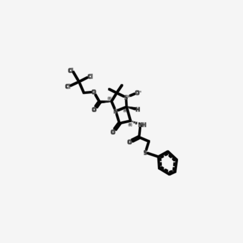 CC1(C)[C@H](C(=O)OCC(Cl)(Cl)Cl)N2C(=O)[C@@H](NC(=O)CSc3ccccc3)[C@H]2[S+]1[O-]